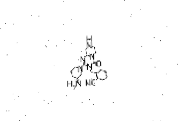 N#Cc1ccccc1CN1C(=O)N2CCNCC2N=C1N1CCC[C@@H](N)C1